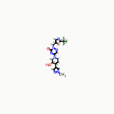 Cn1cc(C2=CCN(c3cnn(Cc4cnc(C(F)(F)F)s4)c(=O)n3)C[C@@H]2O)cn1